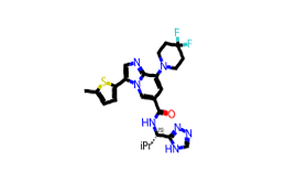 Cc1ccc(-c2cnc3c(N4CCC(F)(F)CC4)cc(C(=O)N[C@H](c4nnc[nH]4)C(C)C)cn23)s1